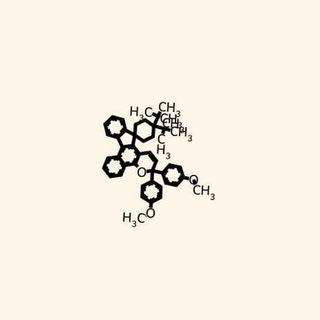 COc1ccc(C2(c3ccc(OC)cc3)C=Cc3c4c(c5ccccc5c3O2)-c2ccccc2C42CCC(C(C)(C)C)(C(C)(C)C)CC2)cc1